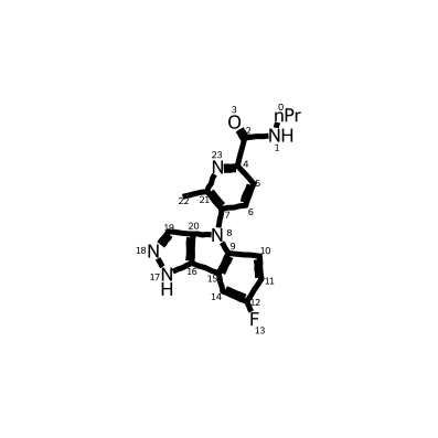 CCCNC(=O)c1ccc(-n2c3ccc(F)cc3c3[nH]ncc32)c(C)n1